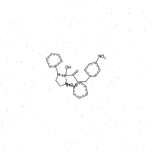 C=C(C(Cc1ccc([N+](=O)[O-])cc1)C(=O)OCC)[PH]1(O)N(c2ccccc2)CCN1c1ccccc1